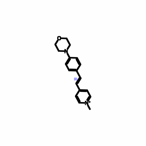 C[n+]1ccc(/C=C/c2ccc(N3CCOCC3)cc2)cc1